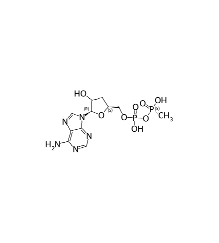 C[P@](=O)(O)OP(=O)(O)OC[C@@H]1CC(O)[C@H](n2cnc3c(N)ncnc32)O1